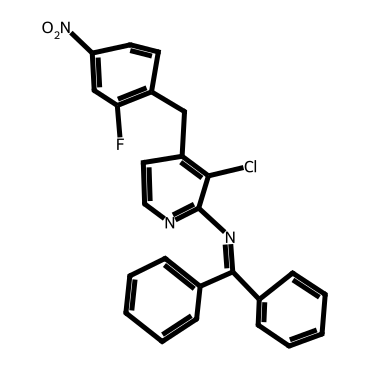 O=[N+]([O-])c1ccc(Cc2ccnc(N=C(c3ccccc3)c3ccccc3)c2Cl)c(F)c1